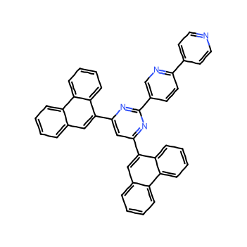 c1ccc2c(c1)cc(-c1cc(-c3cc4ccccc4c4ccccc34)nc(-c3ccc(-c4ccncc4)nc3)n1)c1ccccc12